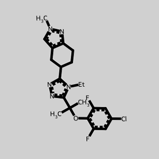 CCn1c(C2CCc3nn(C)cc3C2)nnc1C(C)(C)Oc1c(F)cc(Cl)cc1F